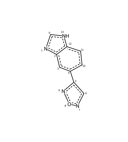 c1nc2cc(-c3cnon3)ccc2[nH]1